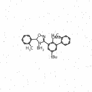 BN1C(c2cc(C(C)(C)C)cc(-c3ccccc3C)c2OC)=NOC1c1ccccc1C